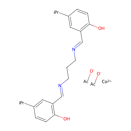 CC(=O)[O-].CC(=O)[O-].CC(C)c1ccc(O)c(C=NCCCN=Cc2cc(C(C)C)ccc2O)c1.[Co+2]